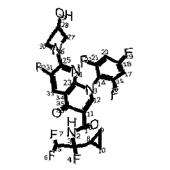 O=C(NC(F)(C(F)F)C1CC1)c1cn(-c2c(F)cc(F)cc2F)c2nc(N3CC(O)C3)c(F)cc2c1=O